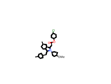 COc1ccc(-n2c(=CC(=O)Oc3ccc(Cl)cc3)c3cc(C)ccc3/c2=C\c2ccc(C)cc2)cc1